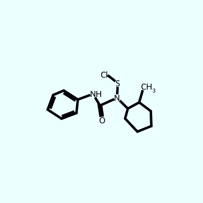 CC1CCCCC1N(SCl)C(=O)Nc1ccccc1